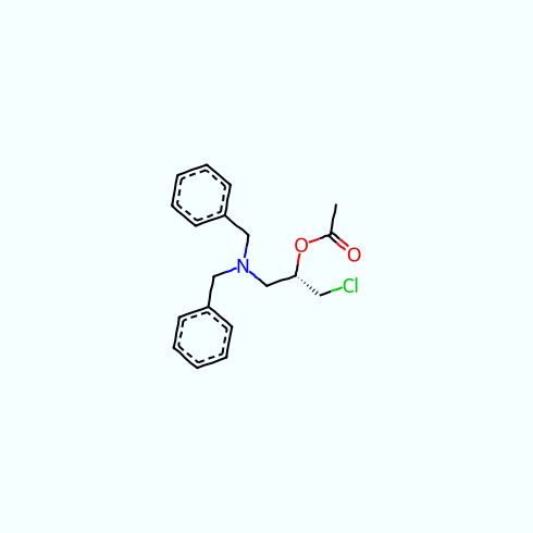 CC(=O)O[C@H](CCl)CN(Cc1ccccc1)Cc1ccccc1